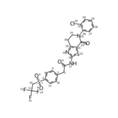 O=C(Cc1ccc(S(=O)(=O)CC(F)(F)F)cc1)Nc1nc2c(s1)C(=O)N(c1ccccc1Cl)CC2